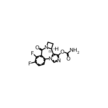 NC(=O)Oc1ncn2c1[C@@H]1CCN1C(=O)c1c-2ccc(F)c1F